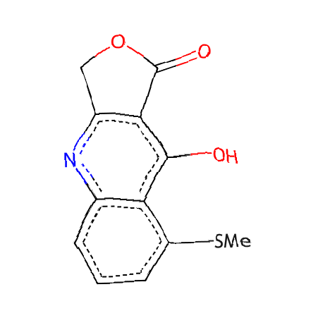 CSc1cccc2nc3c(c(O)c12)C(=O)OC3